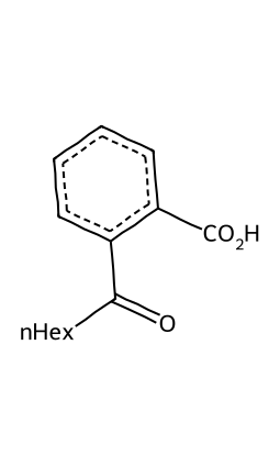 CCCCCCC(=O)c1ccccc1C(=O)O